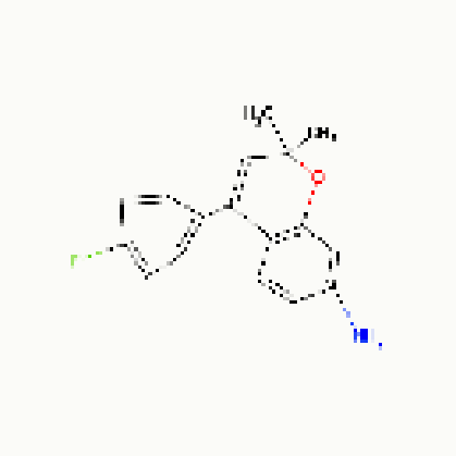 CC1(C)C=C(c2ccc(F)cc2)c2ccc(N)cc2O1